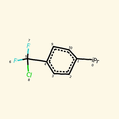 CC(C)c1ccc(C(F)(F)Cl)cc1